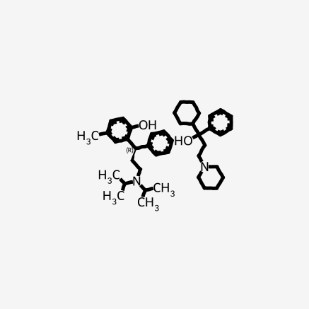 Cc1ccc(O)c([C@H](CCN(C(C)C)C(C)C)c2ccccc2)c1.OC(CCN1CCCCC1)(c1ccccc1)C1CCCCC1